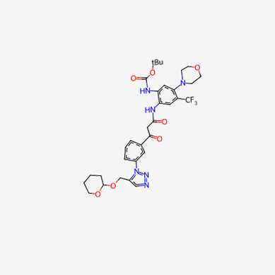 CC(C)(C)OC(=O)Nc1cc(N2CCOCC2)c(C(F)(F)F)cc1NC(=O)CC(=O)c1cccc(-n2nncc2COC2CCCCO2)c1